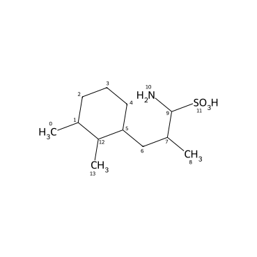 CC1CCCC(CC(C)C(N)S(=O)(=O)O)C1C